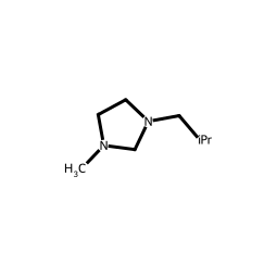 CC(C)CN1CCN(C)C1